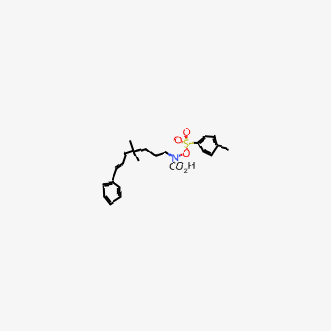 Cc1ccc(S(=O)(=O)ON(CCCC(C)(C)CCCc2ccccc2)C(=O)O)cc1